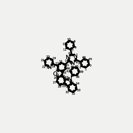 c1ccc(-c2nc(-c3ccccc3)nc(-c3cc(-c4ccccn4)c4oc5ccc6c7ccccc7n(-c7ccccc7)c6c5c4c3)n2)cc1